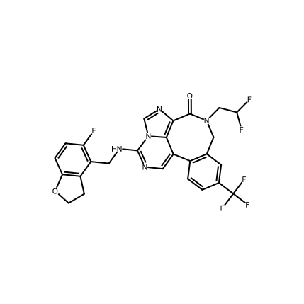 O=C1c2ncn3c(NCc4c(F)ccc5c4CCO5)ncc(c23)-c2ccc(C(F)(F)F)cc2CN1CC(F)F